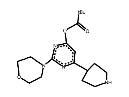 CC(C)(C)C(=O)Oc1cc(C2CCNCC2)nc(N2CCOCC2)n1